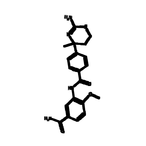 COc1ccc(C(N)=O)cc1NC(=O)c1ccc(C2(C)CCSC(N)=N2)cc1